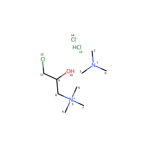 CN(C)C.C[N+](C)(C)CC(O)CCl.Cl.[Cl-]